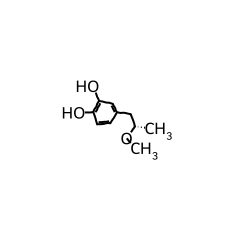 CO[C@@H](C)Cc1ccc(O)c(O)c1